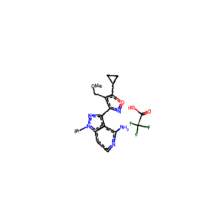 COCc1c(-c2nn(C(C)C)c3ccnc(N)c23)noc1C1CC1.O=C(O)C(F)(F)F